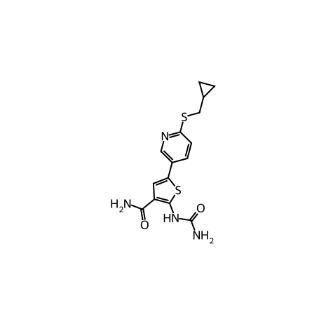 NC(=O)Nc1sc(-c2ccc(SCC3CC3)nc2)cc1C(N)=O